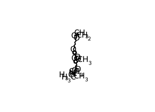 C=C(C)C(=O)OCCCCCCOc1ccc(C(=O)Oc2ccc(/C=C/C(=O)OCC(C(C)C)N(C)C)cc2OC)cc1